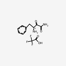 NC(=O)C(=O)[C@@H](N)Cc1ccccc1.O=C(O)C(F)(F)F